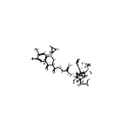 C=C[C@]1(C)C[C@@H](OC(=O)COC(=O)C2CN(C3CC3)c3cc(Cl)c(F)cc3C2=O)[C@]2(C)CC[C@@H](C)[C@@]3(CCC(=O)[C@@H]23)[C@@H](C)[C@@H]1O